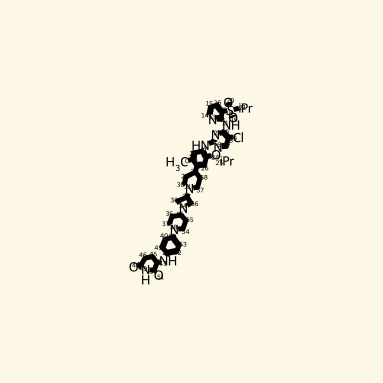 Cc1cc(Nc2ncc(Cl)c(Nc3ncccc3S(=O)(=O)C(C)C)n2)c(OC(C)C)cc1C1CCN(C2CN(C3CCN(c4ccc(NC5CCC(=O)NC5=O)cc4)CC3)C2)CC1